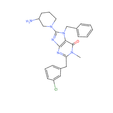 Cn1c(Cc2cccc(Cl)c2)nc2nc(N3CCCC(N)C3)n(Cc3ccccc3)c2c1=O